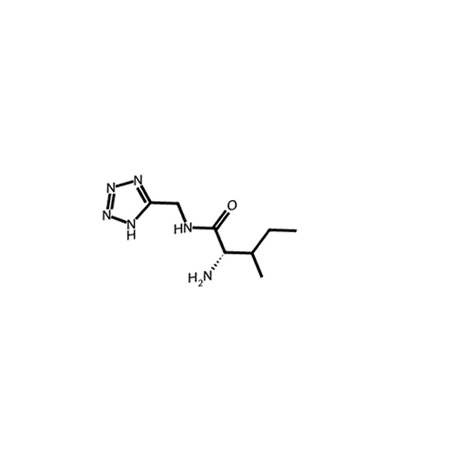 CCC(C)[C@H](N)C(=O)NCc1nnn[nH]1